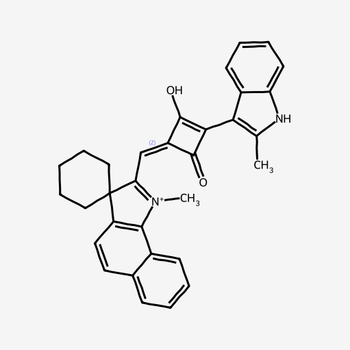 Cc1[nH]c2ccccc2c1C1=C(O)/C(=C/C2=[N+](C)c3c(ccc4ccccc34)C23CCCCC3)C1=O